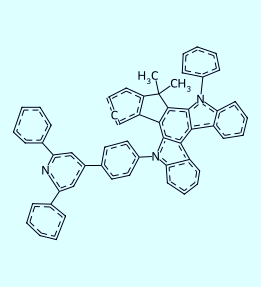 CC1(C)c2ccccc2-c2c1c1c(c3ccccc3n1-c1ccccc1)c1c3ccccc3n(-c3ccc(-c4cc(-c5ccccc5)nc(-c5ccccc5)c4)cc3)c21